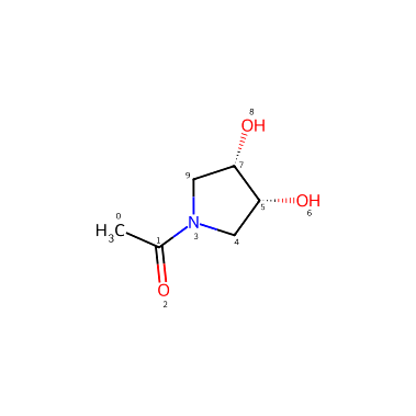 CC(=O)N1C[C@@H](O)[C@@H](O)C1